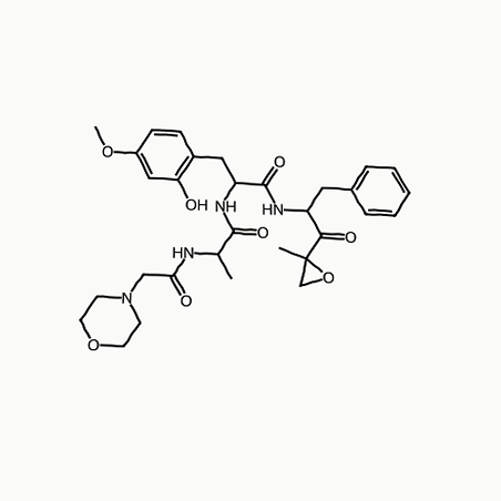 COc1ccc(CC(NC(=O)C(C)NC(=O)CN2CCOCC2)C(=O)NC(Cc2ccccc2)C(=O)C2(C)CO2)c(O)c1